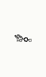 CN1CCN(CC(O)c2ccc(Cl)cc2)CC1